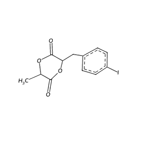 CC1OC(=O)C(Cc2ccc(I)cc2)OC1=O